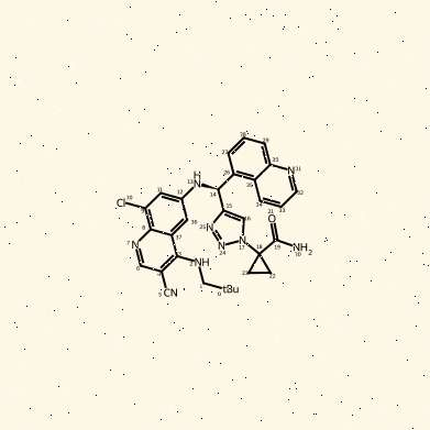 CC(C)(C)CNc1c(C#N)cnc2c(Cl)cc(N[C@H](c3cn(C4(C(N)=O)CC4)nn3)c3cccc4ncccc34)cc12